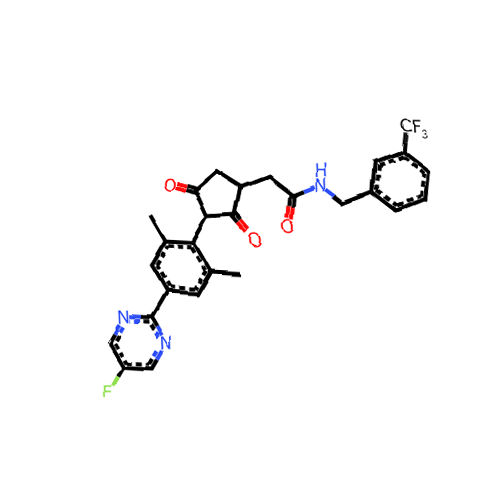 Cc1cc(-c2ncc(F)cn2)cc(C)c1C1C(=O)CC(CC(=O)NCc2cccc(C(F)(F)F)c2)C1=O